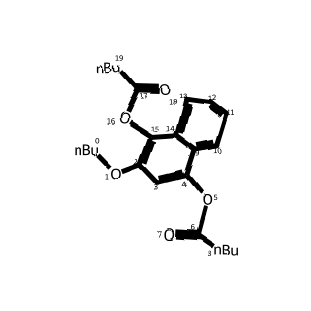 CCCCOc1cc(OC(=O)CCCC)c2ccccc2c1OC(=O)CCCC